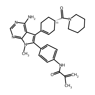 C=C(C)C(=O)Nc1ccc(-c2c(C3=CC[C@@H](C(=O)N4CCCCC4)CC3)c3c(N)ncnc3n2C)cc1